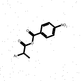 CC(=O)C(C)C(=O)OC(=O)c1ccc([N+](=O)[O-])cc1